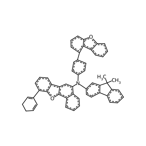 CC1(C)c2ccccc2-c2ccc(N(c3ccc(-c4cccc5oc6ccccc6c45)cc3)c3cc4c5cccc(C6=CCCC=C6)c5oc4c4ccccc34)cc21